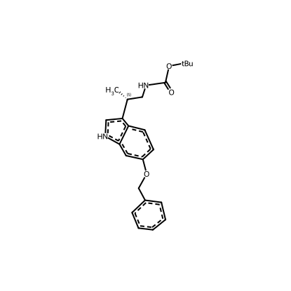 C[C@H](CNC(=O)OC(C)(C)C)c1c[nH]c2cc(OCc3ccccc3)ccc12